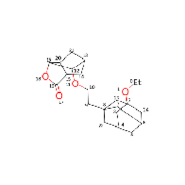 CCOC12CC3CC(CC(CCOC4C5CC6C(=O)OC4C6C5)(C3)C1)C2